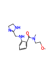 COCCN(C)C(=O)c1ccccc1NCC1=NCCN1